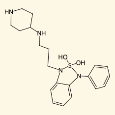 OS1(O)N(CCCNC2CCNCC2)c2ccccc2N1c1ccccc1